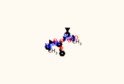 Cc1ccnc([C@H]2C[C@@H]2C(=O)Nc2cc(OCc3ccccc3)cc(OCc3cn4cc(C5CC5)cc(N5CC(=O)N(C)C5=O)c4n3)n2)n1